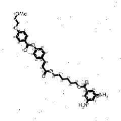 COCCOc1ccc(C(=O)Oc2ccc(C=CC(=O)OCCCCCCOC(=O)c3cc(N)cc(N)c3)cc2)cc1